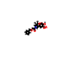 COc1ccc(C2CN(C(=O)COCc3ccccc3)C[C@]2(C)[C@@H](C)O)cc1O